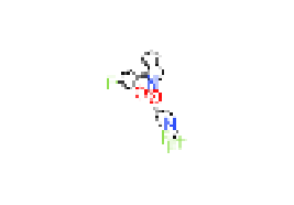 O=C(OCC1CCN(CC(F)(F)F)CC1)N1CCc2ccccc2[C@@H]1c1ccc(F)cc1